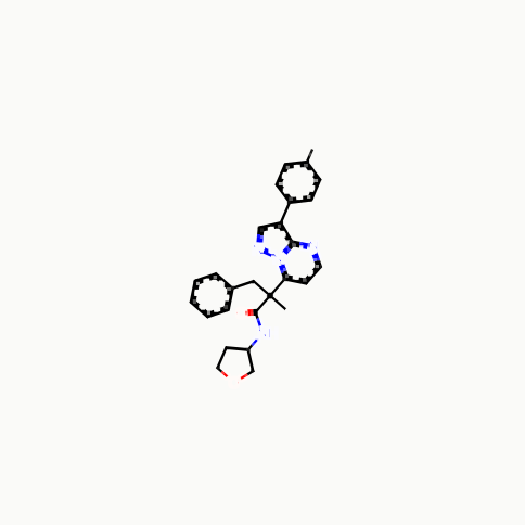 CC(Cc1ccccc1)(C(=O)NC1CCOC1)c1ccnc2c(-c3ccc(C(F)(F)F)cc3)cnn12